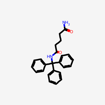 NC(=O)CCCC(=O)NC(c1ccccc1)(c1ccccc1)c1ccccc1